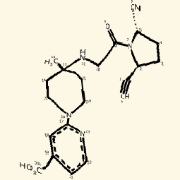 C#C[C@@H]1CC[C@@H](C#N)N1C(=O)CNC1(C)CCN(c2cc(C(=O)O)ccn2)CC1